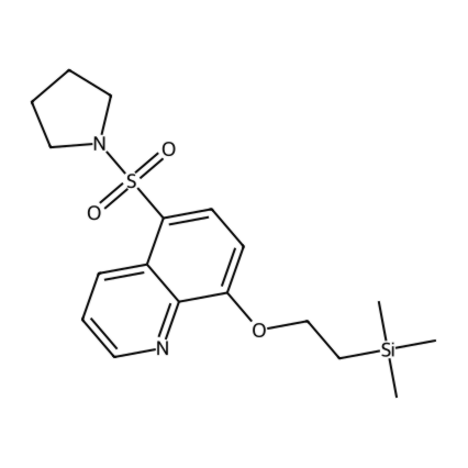 C[Si](C)(C)CCOc1ccc(S(=O)(=O)N2CCCC2)c2cccnc12